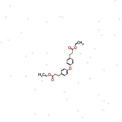 C=COC(=O)CCc1ccc(Oc2ccc(CCC(=O)OC=C)cc2)cc1